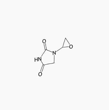 O=C1CN(C2CO2)C(=O)N1